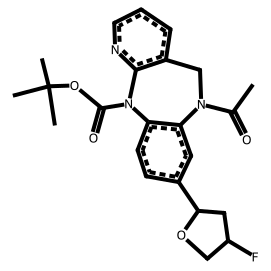 CC(=O)N1Cc2cccnc2N(C(=O)OC(C)(C)C)c2ccc(C3CC(F)CO3)cc21